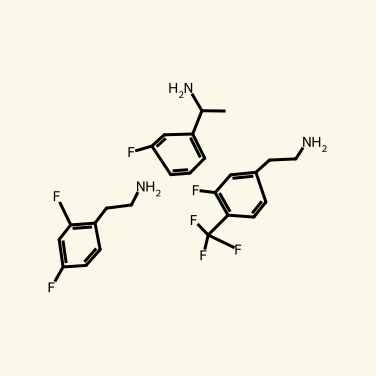 CC(N)c1cccc(F)c1.NCCc1ccc(C(F)(F)F)c(F)c1.NCCc1ccc(F)cc1F